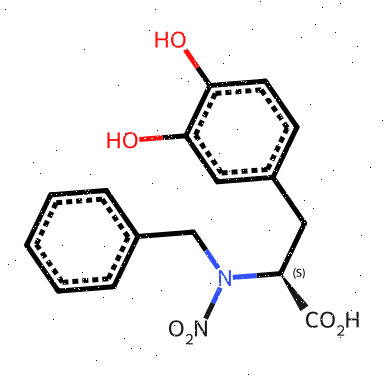 O=C(O)[C@H](Cc1ccc(O)c(O)c1)N(Cc1ccccc1)[N+](=O)[O-]